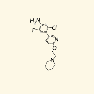 Nc1cc(Cl)c(-c2ccc(OCCN3CCCCC3)nc2)cc1F